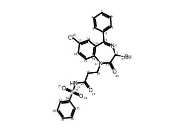 CC[C@H](C)[C@@H]1N=C(c2ccccc2)c2cc(Cl)ccc2N(CCC(=O)NS(=O)(=O)c2ccccc2)C1=O